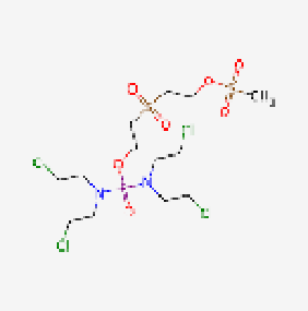 CS(=O)(=O)OCCS(=O)(=O)CCOP(=O)(N(CCCl)CCCl)N(CCCl)CCCl